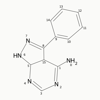 NC1=NC=NC2NN=C(c3ccccc3)C12